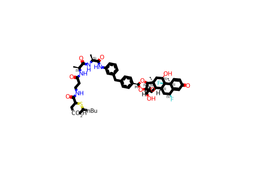 CCCCC(C)SC(CC(=O)O)C(=O)NCCC(=O)N[C@@H](C)C(=O)N[C@@H](C)C(=O)Nc1cccc(Cc2ccc([C@@H]3O[C@@H]4CC5[C@@H]6C[C@H](F)C7=CC(=O)C=C[C@]7(C)[C@@]6(F)[C@@H](O)C[C@]5(C)[C@]4(C(=O)CO)O3)cc2)c1